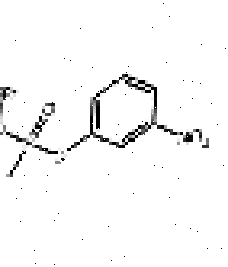 CC(C)OP(C)(=O)Oc1cccc([N+](=O)[O-])c1